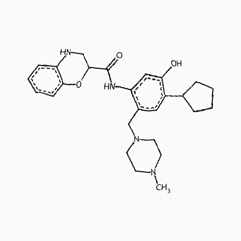 CN1CCN(Cc2cc(C3CCCC3)c(O)cc2NC(=O)C2CNc3ccccc3O2)CC1